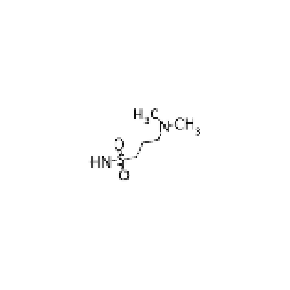 CN(C)CCCS([NH])(=O)=O